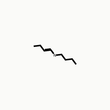 CCC=C[N]CCCC